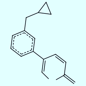 C=C(C)/C=C\C(=C/C)c1cccc(CC2CC2)c1